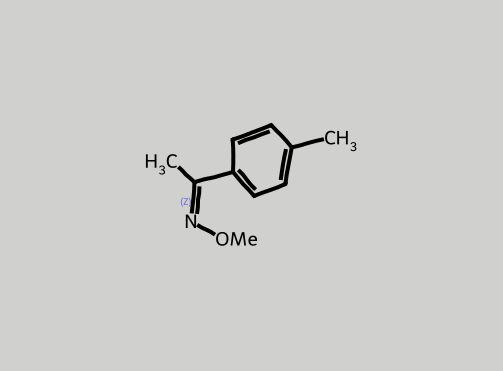 CO/N=C(/C)c1ccc(C)cc1